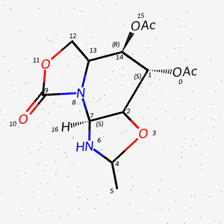 CC(=O)O[C@@H]1C2OC(C)N[C@H]2N2C(=O)OCC2[C@H]1OC(C)=O